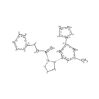 Cc1cc(C2CCCN2C(=O)OCc2ccccc2)nc(-n2ccnc2)n1